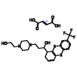 O=C(O)/C=C/C(=O)O.OCCN1CCN(CCC(O)C2CC=CC3=C2Sc2cc(C(F)(F)F)ccc2S3)CC1